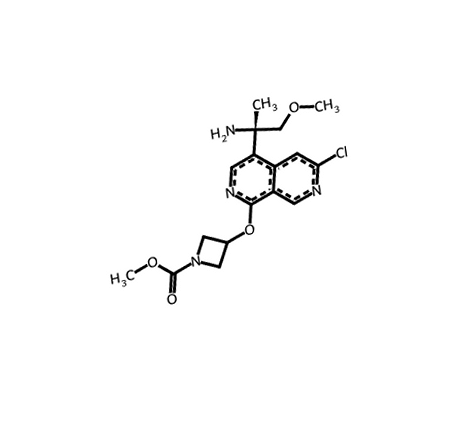 COC[C@@](C)(N)c1cnc(OC2CN(C(=O)OC)C2)c2cnc(Cl)cc12